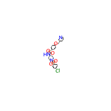 O=S(=O)(NC1CCN(S(=O)(=O)c2ccc(Cl)cc2)CC1)c1ccc(OCc2cccnc2)cc1